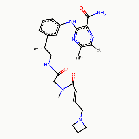 CCCc1nc(Nc2cccc([C@@H](C)CNC(=O)CN(C)C(=O)/C=C/CN3CCC3)c2)c(C(N)=O)nc1CC